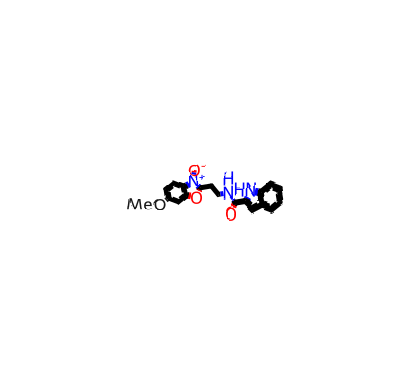 COc1ccc2c(c1)oc(CCNC(=O)c1cc3ccccc3[nH]1)[n+]2[O-]